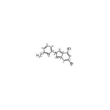 CCc1cc(Br)cc2nn(-c3cccc(C)n3)cc12